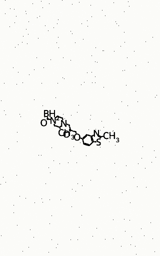 BC(=O)N1CCN(CC(=O)COc2ccc3sc(C)nc3c2)[C@@H](C)C1